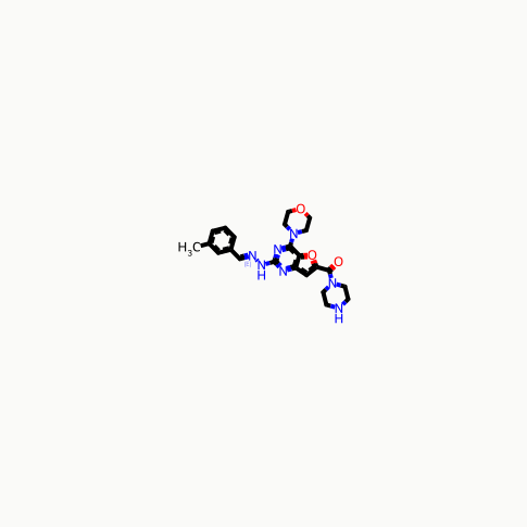 Cc1cccc(/C=N/Nc2nc(N3CCOCC3)c3oc(C(=O)N4CCNCC4)cc3n2)c1